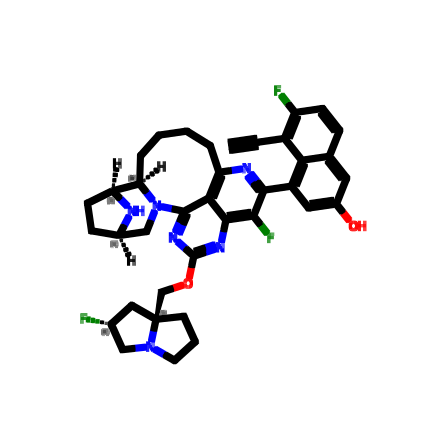 C#Cc1c(F)ccc2cc(O)cc(-c3nc4c5c(nc(OC[C@@]67CCCN6C[C@H](F)C7)nc5c3F)N3C[C@H]5CC[C@H](N5)[C@H]3CCCC4)c12